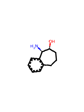 N[C@@H]1c2ccccc2CCC[C@@H]1O